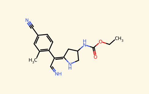 CCOC(=O)NC1CN/C(=C(\C=N)c2ccc(C#N)cc2C)C1